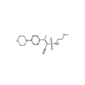 COCCNS(=O)(=O)/C(C#N)=C(\C)c1ccc(N2CCOCC2)cc1